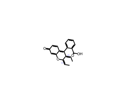 C/C=c1/c(-c2ccccc2C(=O)O)c2ccc(=O)cc-2o/c1=C/C